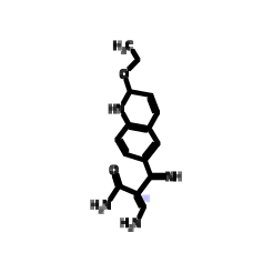 CCOC1C=Cc2cc(C(=N)/C(=C/N)C(N)=O)ccc2N1